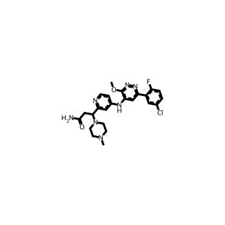 COc1nnc(-c2cc(Cl)ccc2F)cc1Nc1ccnc(C(CC(N)=O)N2CCN(C)CC2)c1